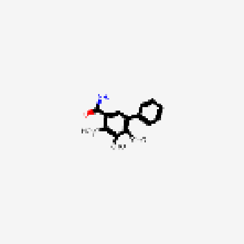 NC(=O)c1cc(-c2ccccc2)c(C=O)c(C=O)c1C(=O)O